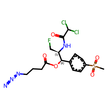 CS(=O)(=O)c1ccc([C@@H](OC(=O)CCCN=[N+]=[N-])[C@@H](CF)NC(=O)C(Cl)Cl)cc1